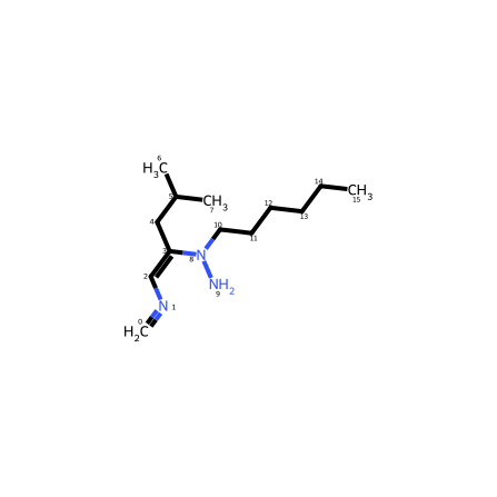 C=N/C=C(/CC(C)C)N(N)CCCCCC